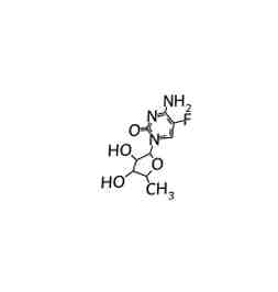 CC1OC(n2cc(F)c(N)nc2=O)C(O)C1O